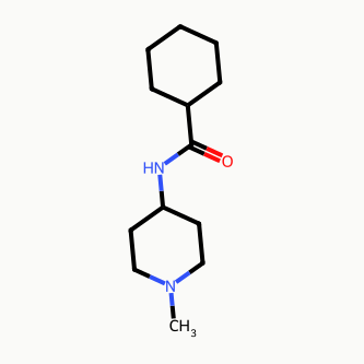 CN1CCC(NC(=O)C2CCCCC2)CC1